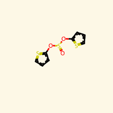 O=S(Oc1cccs1)Oc1cccs1